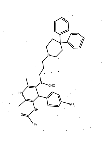 CCCC(=O)NC1=C(C)NC(C)=C(N(C=O)CCCN2CCC(c3ccccc3)(c3ccccc3)CC2)C1c1ccc([N+](=O)[O-])cc1